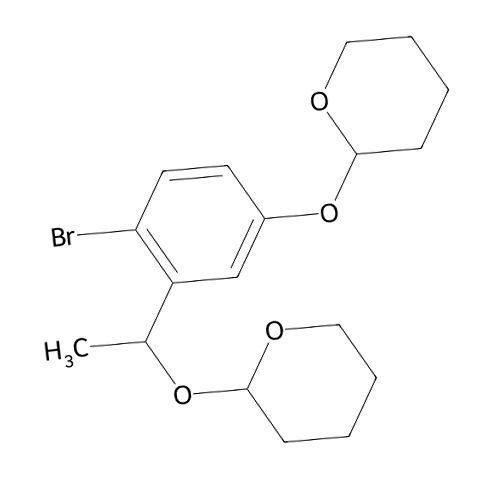 CC(OC1CCCCO1)c1cc(OC2CCCCO2)ccc1Br